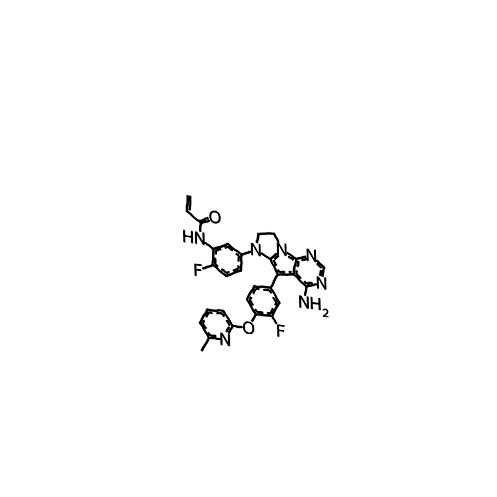 C=CC(=O)Nc1cc(N2CCn3c2c(-c2ccc(Oc4cccc(C)n4)c(F)c2)c2c(N)ncnc23)ccc1F